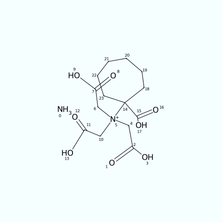 N.O=C(O)C[N+](CC(=O)O)(CC(=O)O)C1(C(=O)O)CCCCCC1